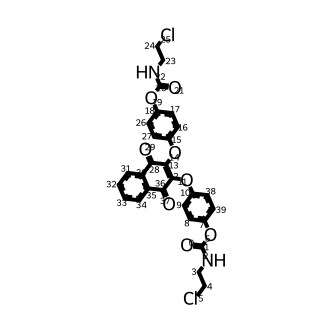 O=C(NCCCl)Oc1ccc(OC2=C(Oc3ccc(OC(=O)NCCCl)cc3)C(=O)c3ccccc3C2=O)cc1